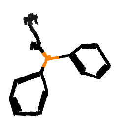 CC[CH2][Ni][P](c1ccccc1)c1ccccc1